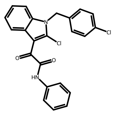 O=C(Nc1ccccc1)C(=O)c1c(Cl)n(Cc2ccc(Cl)cc2)c2ccccc12